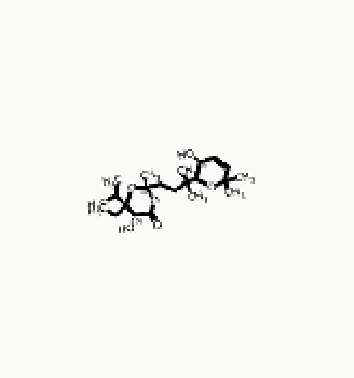 CCC1(C(C)C)O[C@](C)(CCC(C)(C)C2OC(C)(C)C=C[C@@H]2O)OC(=O)[C@@H]1O